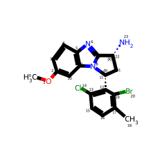 COc1ccc2nc3n(c2c1)[C@@H](c1c(Cl)ccc(C)c1Br)C[C@H]3N